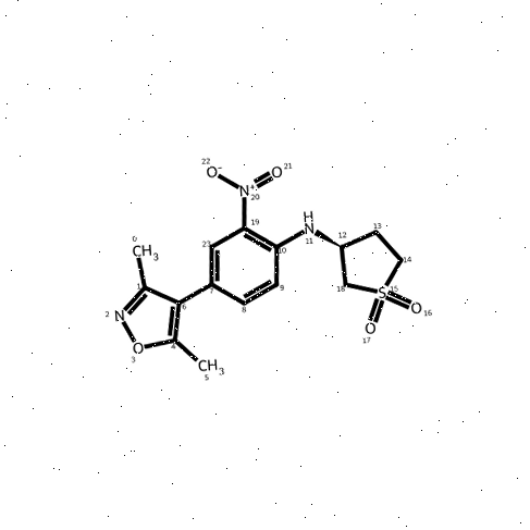 Cc1noc(C)c1-c1ccc(N[C@H]2CCS(=O)(=O)C2)c([N+](=O)[O-])c1